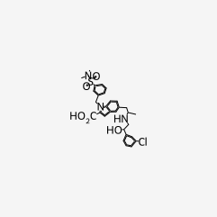 CC(Cc1ccc2c(c1)cc(C(=O)O)n2Cc1cccc(S(=O)(=O)N(C)C)c1)NCC(O)c1cccc(Cl)c1